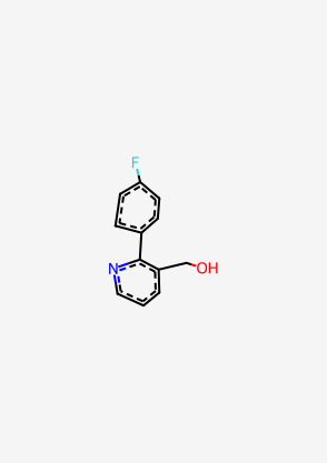 OCc1cccnc1-c1ccc(F)cc1